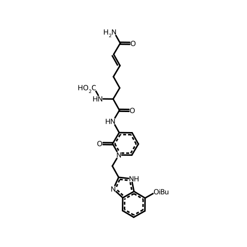 CC(C)COc1cccc2nc(Cn3cccc(NC(=O)C(CCC=CC(N)=O)NC(=O)O)c3=O)[nH]c12